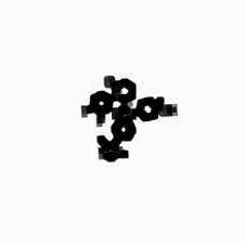 Cc1ncn(C)c1-c1ccc2c(c1)nc([C@@H]1CCCC(=O)N1c1ccc(F)c(F)c1)n2C1CCC(C)(O)CC1